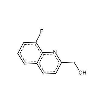 OCc1ccc2cccc(F)c2n1